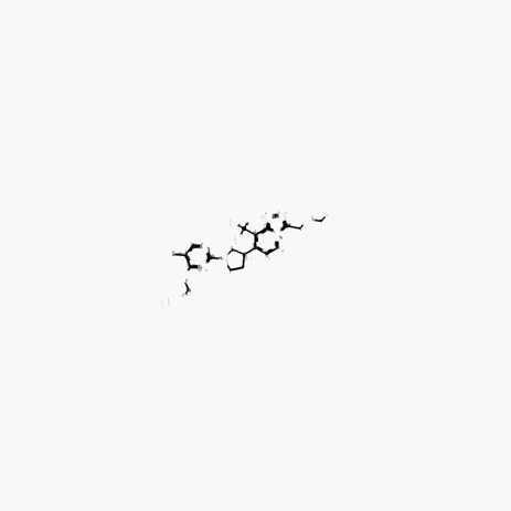 CCOCc1nnc2c(C(F)(F)F)c(C3CCN(c4ncc(Cl)c(OCC)n4)C3)ccn12